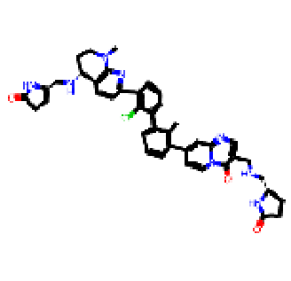 Cc1c(-c2ccn3c(=O)c(CNC[C@@H]4CCC(=O)N4)cnc3c2)cccc1-c1cccc(-c2ccc3c(n2)N(C)CC[C@H]3NC[C@H]2CCC(=O)N2)c1Cl